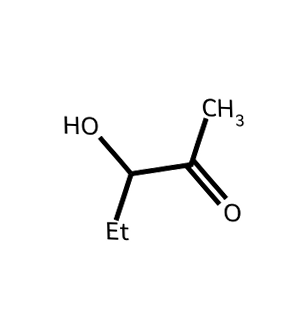 CCC(O)C(C)=O